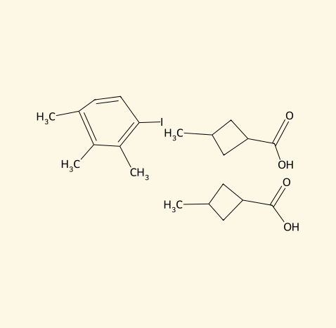 CC1CC(C(=O)O)C1.CC1CC(C(=O)O)C1.Cc1ccc(I)c(C)c1C